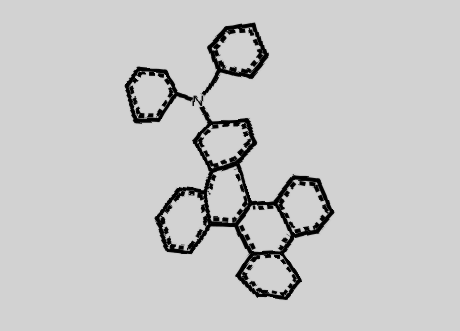 c1ccc(N(c2ccccc2)c2ccc3c(c2)c2ccccc2c2c4ccccc4c4ccccc4c32)cc1